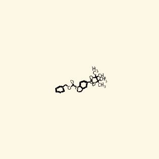 CC1(C)OB(c2ccc3c(c2)CCN3C(=O)OCc2ccccc2)OC1(C)C